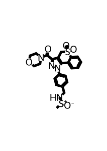 C[S+]([O-])NCc1ccc(-n2nc(C(=O)N3CCOCC3)c3c2-c2ccccc2S(=O)(=O)C3)cc1